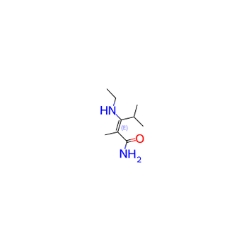 CCN/C(=C(\C)C(N)=O)C(C)C